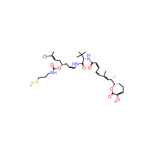 COC1=CCC[C@@H]([C@@H](C)/C=C(C)/C=C\C=C/C(=O)N[C@H](C(=O)N/C=C\C[C@H](C/C=C(\C)Cl)OC(=O)NCCCSSC)C(C)(C)C)OC1=O